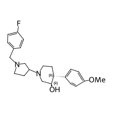 COc1ccc([C@H]2CCN(C3CCN(Cc4ccc(F)cc4)C3)C[C@@H]2O)cc1